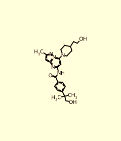 Cc1cc2nc(NC(=O)c3ccc(C(C)(C)CO)cc3)cc(N3CCC(CCO)CC3)n2n1